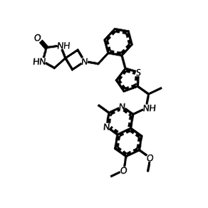 COc1cc2nc(C)nc(NC(C)c3ccc(-c4ccccc4CN4CC5(CNC(=O)N5)C4)s3)c2cc1OC